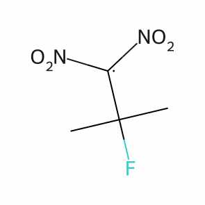 CC(C)(F)[C]([N+](=O)[O-])[N+](=O)[O-]